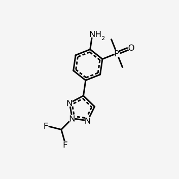 CP(C)(=O)c1cc(-c2cnn(C(F)F)n2)ccc1N